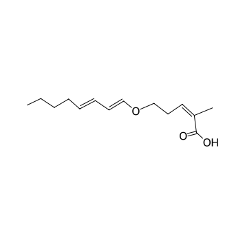 CCCCC=CC=COCCC=C(C)C(=O)O